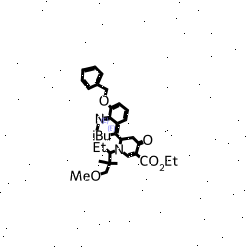 CCOC(=O)C1=CN(C(CC)C(C)(C)COC)C(/C(=C2\C=CC=C(OCc3ccccc3)\C2=N\C)C(C)CC)CC1=O